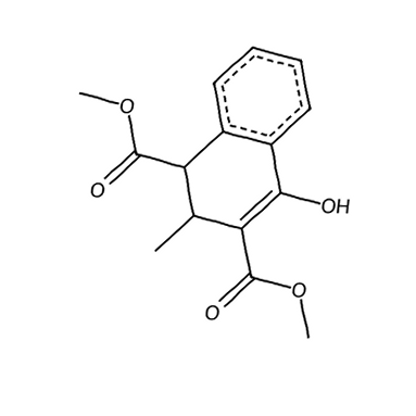 COC(=O)C1=C(O)c2ccccc2C(C(=O)OC)C1C